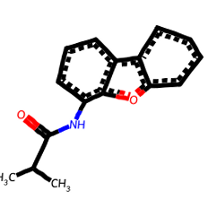 CC(C)C(=O)Nc1cccc2c1oc1ccccc12